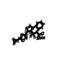 CSC(=O)N1c2ccccc2-n2cnc(-c3noc(C4CC4)n3)c2C1(C)C